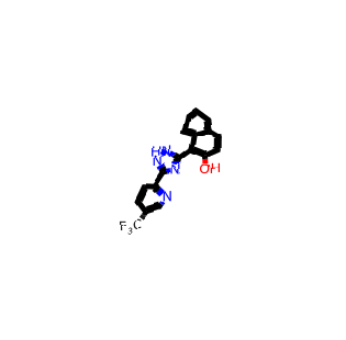 Oc1ccc2ccccc2c1-c1nc(-c2ccc(C(F)(F)F)cn2)n[nH]1